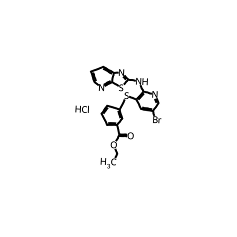 CCOC(=O)c1cccc(Sc2cc(Br)cnc2Nc2nc3cccnc3s2)c1.Cl